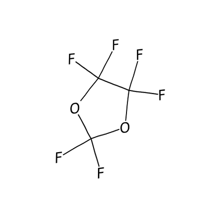 FC1(F)OC(F)(F)C(F)(F)O1